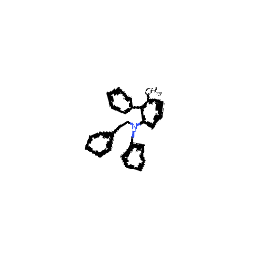 Cc1cccc(N(Cc2ccccc2)c2ccccc2)c1-c1ccccc1